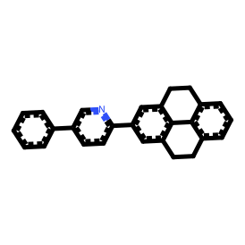 c1ccc(-c2ccc(-c3cc4c5c(c3)CCc3cccc(c3-5)CC4)nc2)cc1